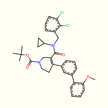 COc1ccccc1-c1cccc(C2=C(C(=O)N(Cc3cccc(Cl)c3Cl)C3CC3)CN(C(=O)OC(C)(C)C)CC2)c1